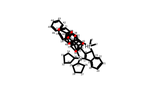 [CH3][Hf]1([CH3])[CH]2C(c3ccc(-c4ccccc4)cc3)=C(c3ccccc32)[Si](C2CCCC2)(C2CCCC2)C2=C(c3ccc(-c4ccccc4)cc3)[CH]1c1ccccc12